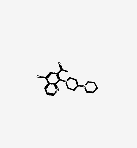 CC(=O)c1cc(Cl)c2cccnc2c1N1CCC(N2CCCCC2)CC1